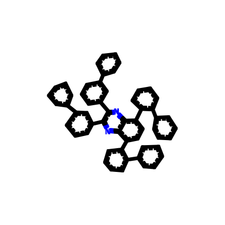 c1ccc(-c2cccc(-c3nc4c(-c5ccccc5-c5ccccc5)ccc(-c5ccccc5-c5ccccc5)c4nc3-c3cccc(-c4ccccc4)c3)c2)cc1